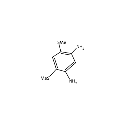 CSc1cc(SC)c(N)cc1N